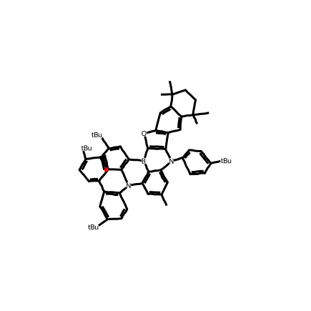 Cc1cc2c3c(c1)N(c1ccc(C(C)(C)C)cc1)c1c(oc4cc5c(cc14)C(C)(C)CCC5(C)C)B3c1cc(C(C)(C)C)c#cc1N2c1ccc(C(C)(C)C)cc1C1=CC=C(C(C)(C)C)CC1